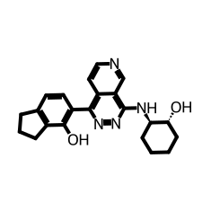 Oc1c(-c2nnc(N[C@@H]3CCCC[C@H]3O)c3cnccc23)ccc2c1CCC2